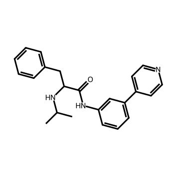 CC(C)NC(Cc1ccccc1)C(=O)Nc1cccc(-c2ccncc2)c1